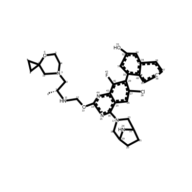 C[C@H](CN1CCOC2(CC2)C1)NCOc1nc(N2CC3CCC(C2)N3)c2cc(Cl)c(-c3cc(O)cc4ccccc34)c(F)c2n1